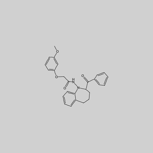 COc1cccc(OCC(=O)NN2c3ccccc3CCCC2C(=O)c2ccccc2)c1